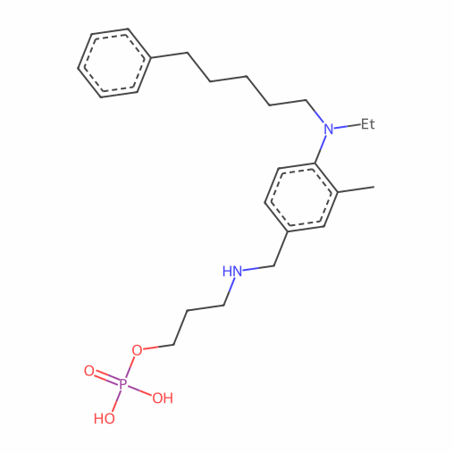 CCN(CCCCCc1ccccc1)c1ccc(CNCCCOP(=O)(O)O)cc1C